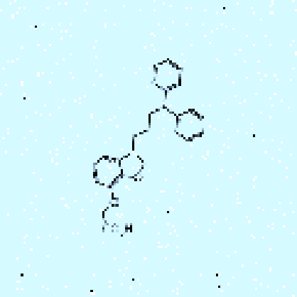 O=C(O)COc1cccc2c1OCC2CCCC(c1ccccc1)c1ccccc1